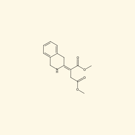 COC(=O)CC(C(=O)OC)=C1Cc2ccccc2CN1